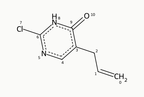 C=CCc1cnc(Cl)[nH]c1=O